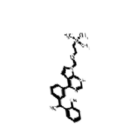 C[Si](C)(C)CCOCN1C=CC2=C(c3cccc(C(C#N)c4ccccc4C#N)c3)N=CNC21